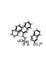 O=C(O)c1cc2ccccc2cn1.O=P(O)(O)CCc1cc2ccccc2c2ccc3c(c12)CCCC3